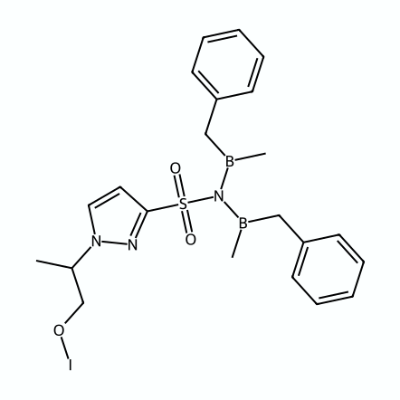 CB(Cc1ccccc1)N(B(C)Cc1ccccc1)S(=O)(=O)c1ccn(C(C)COI)n1